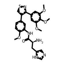 COc1ccc(-c2csnc2-c2cc(OC)c(OC)c(OC)c2)cc1NC(=O)[C@@H](N)Cc1cnc[nH]1